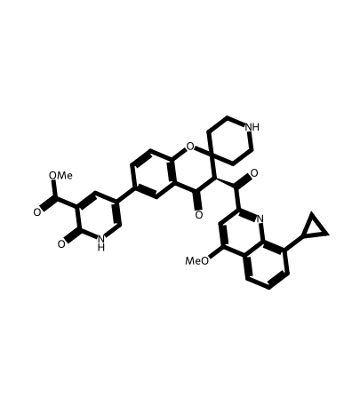 COC(=O)c1cc(-c2ccc3c(c2)C(=O)[C@H](C(=O)c2cc(OC)c4cccc(C5CC5)c4n2)C2(CCNCC2)O3)c[nH]c1=O